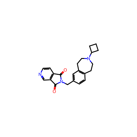 O=C1c2ccncc2C(=O)N1Cc1ccc2c(c1)CCN(C1CCC1)CC2